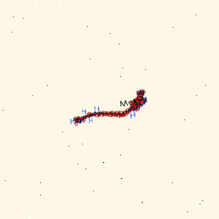 COc1cc2c(N3CCN(C(=O)N(CC(=O)NCCOCCOCCOCCOCCOCCOCCOCCOCCNC(=O)CCCCCNC(=O)CCCCCNC(=O)CCCC[C@@H]4SC[C@@H]5NC(=O)N[C@@H]54)c4ccc(OC(C)C)cc4)CC3)ncnc2cc1OCCCN1CCCCC1